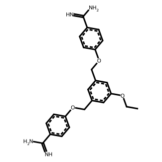 CCOc1cc(COc2ccc(C(=N)N)cc2)cc(COc2ccc(C(=N)N)cc2)c1